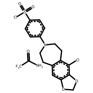 NC(=O)C(F)(F)F.O=S(=O)(Cl)c1ccc(N2CCc3cc4c(c(Cl)c3CC2)OCO4)cc1